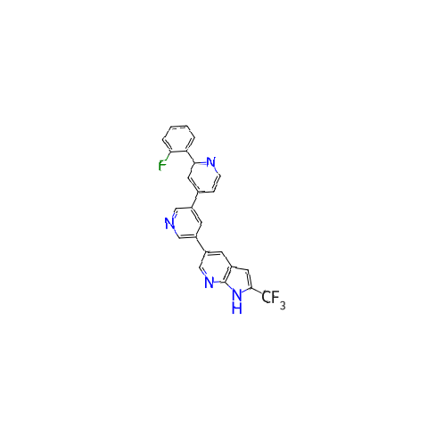 Fc1ccccc1-c1cc(-c2cncc(-c3cnc4[nH]c(C(F)(F)F)cc4c3)c2)ccn1